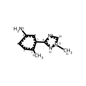 Cc1ccc(N)cc1-c1ncn(C)n1